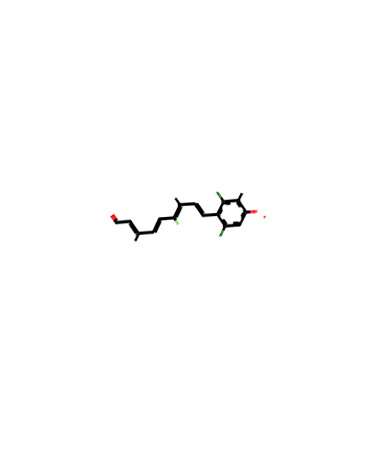 COc1cc(Cl)c(C=CC(C)=C(F)C=CC(C)=CC=O)c(Cl)c1C